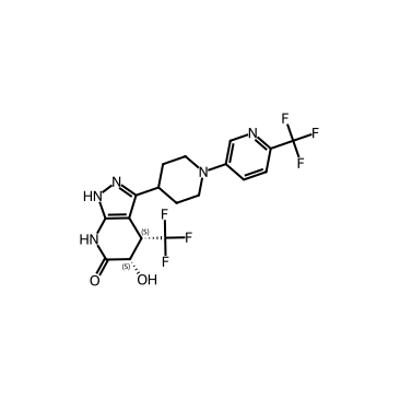 O=C1Nc2[nH]nc(C3CCN(c4ccc(C(F)(F)F)nc4)CC3)c2[C@H](C(F)(F)F)[C@@H]1O